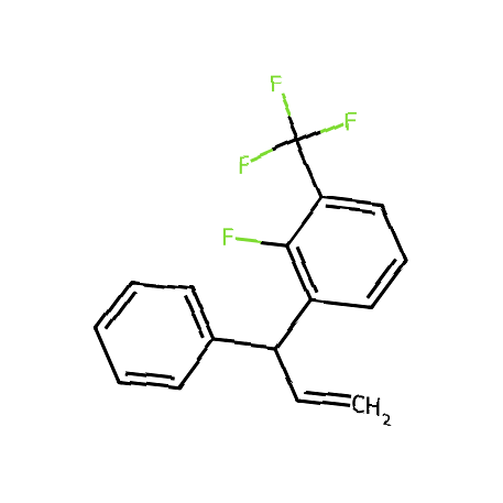 C=CC(c1ccccc1)c1cccc(C(F)(F)F)c1F